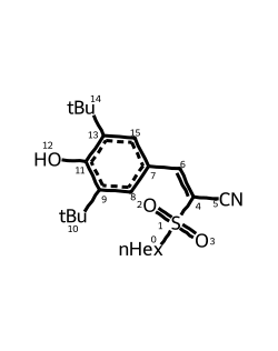 CCCCCCS(=O)(=O)C(C#N)=Cc1cc(C(C)(C)C)c(O)c(C(C)(C)C)c1